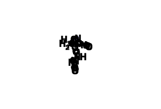 C=Nc1c(/N=C\C)cc(N2CCOCC2)cc1O[C@H]1CC[C@@H](Nc2ccnc(N3CCOCC3)n2)CC1